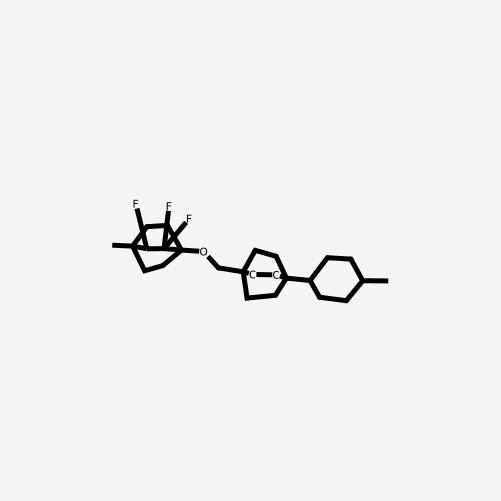 CC1CCC(C23CCC(COC45CCC(C)(CC4)C(F)C5(F)F)(CC2)CC3)CC1